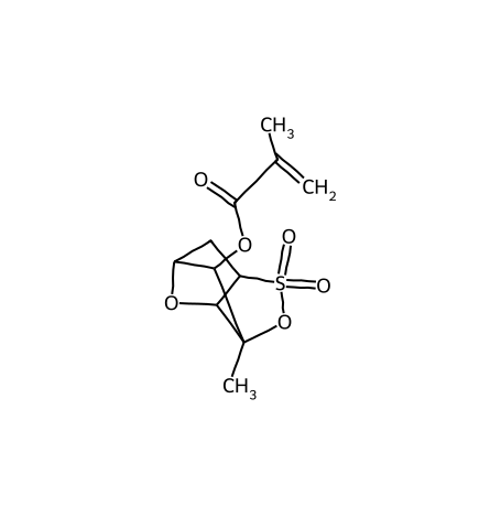 C=C(C)C(=O)OC1C2CC3C(O2)C1(C)OS3(=O)=O